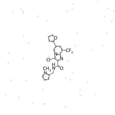 Cn1cccc1CNC(=O)c1nc2c(C(F)(F)F)cc(-c3ccco3)cn2c1Cl